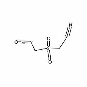 N#CCS(=O)(=O)C[C]=O